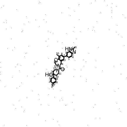 Cc1nc2ccc(-c3cc(C)c4c(c3)CN(C(=O)N3CCC(O)(c5ccc(F)cc5)CC3)CCO4)cc2[nH]1